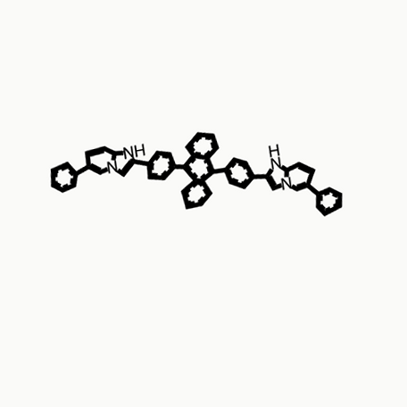 C1=CC2NC(c3ccc(-c4c5ccccc5c(-c5ccc(C6=CN7C=C(c8ccccc8)C=CC7N6)cc5)c5ccccc45)cc3)=CN2C=C1c1ccccc1